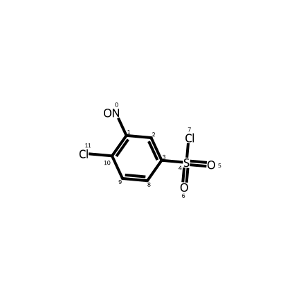 O=Nc1cc(S(=O)(=O)Cl)ccc1Cl